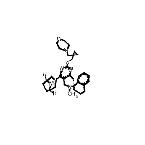 CN1Cc2c(nc(OCC3(CN4CCOCC4)CC3)nc2N2C[C@H]3CC[C@@H](C2)N3)C[C@]12CCCc1ccccc12